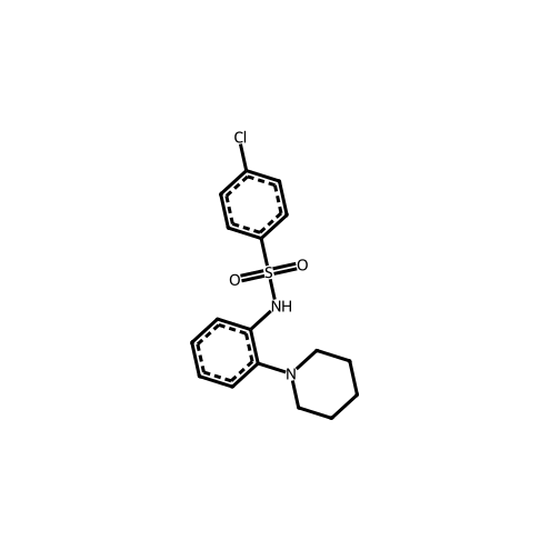 O=S(=O)(Nc1ccccc1N1CCCCC1)c1ccc(Cl)cc1